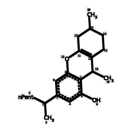 CCCCCC(C)c1cc(O)c2c(c1)OC1=C(CCC(C)C1)C2C